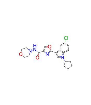 O=C(NN1CCOCC1)c1coc(-c2cn(C3CCCC3)c3ccc(Cl)cc23)n1